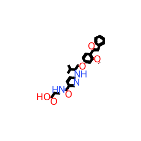 COc1cc(OCC(Nc2ccc(C(=O)NCCC(=O)O)cn2)C(C)C)ccc1-c1cc2ccccc2o1